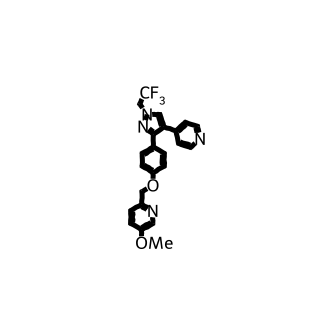 COc1ccc(COc2ccc(-c3nn(CC(F)(F)F)cc3-c3ccncc3)cc2)nc1